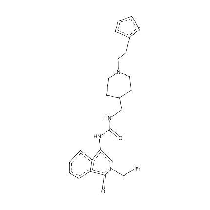 CC(C)Cn1cc(NC(=O)NCC2CCN(CCc3cccs3)CC2)c2ccccc2c1=O